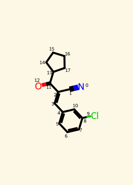 N#C/C(=C\c1cccc(Cl)c1)C(=O)C1CCCC1